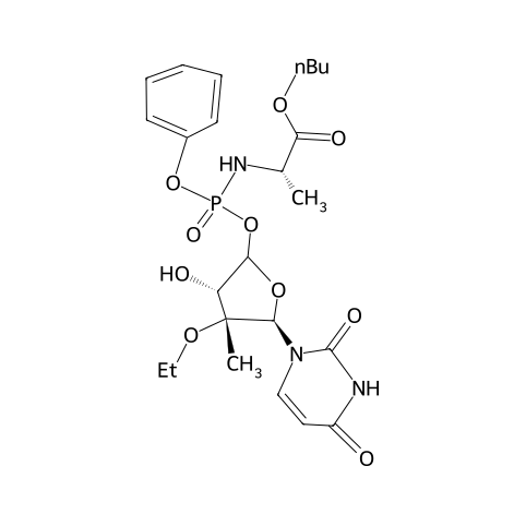 CCCCOC(=O)[C@H](C)NP(=O)(Oc1ccccc1)OC1O[C@@H](n2ccc(=O)[nH]c2=O)[C@](C)(OCC)[C@@H]1O